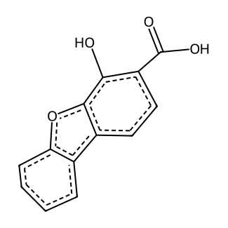 O=C(O)c1ccc2c(oc3ccccc32)c1O